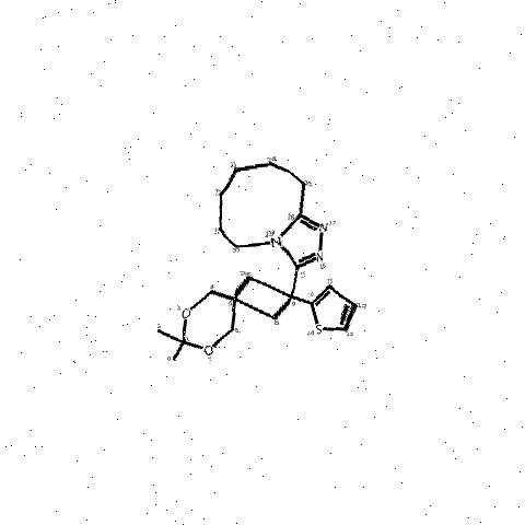 CC1(C)OCC2(CO1)CC(c1cccs1)(c1nnc3n1CCCCCC3)C2